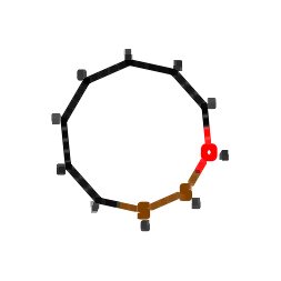 C1CCCOSSCCC1